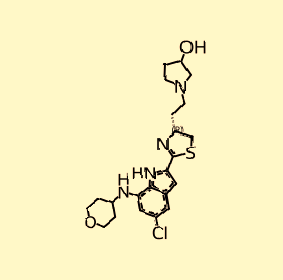 OC1CCN(CC[C@@H]2CSC(c3cc4cc(Cl)cc(NC5CCOCC5)c4[nH]3)=N2)C1